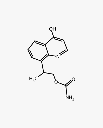 CC(COC(N)=O)c1cccc2c(O)ccnc12